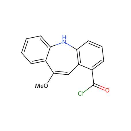 COC1=Cc2c(cccc2C(=O)Cl)Nc2ccccc21